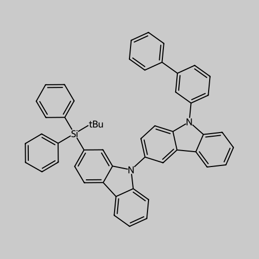 CC(C)(C)[Si](c1ccccc1)(c1ccccc1)c1ccc2c3ccccc3n(-c3ccc4c(c3)c3ccccc3n4-c3cccc(-c4ccccc4)c3)c2c1